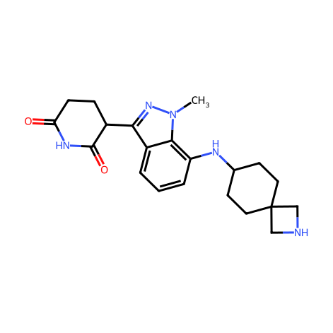 Cn1nc(C2CCC(=O)NC2=O)c2cccc(NC3CCC4(CC3)CNC4)c21